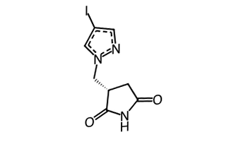 O=C1C[C@@H](Cn2cc(I)cn2)C(=O)N1